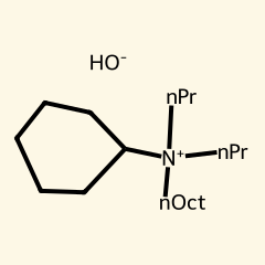 CCCCCCCC[N+](CCC)(CCC)C1CCCCC1.[OH-]